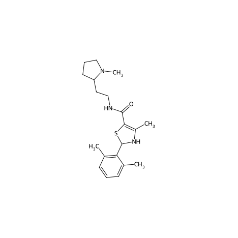 CC1=C(C(=O)NCCC2CCCN2C)SC(c2c(C)cccc2C)N1